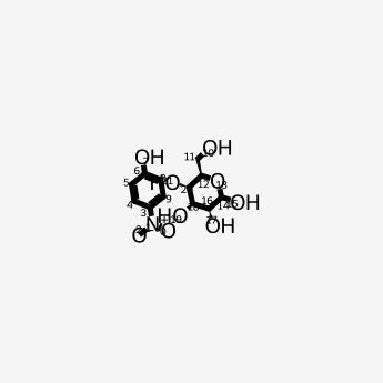 O=[N+]([O-])c1ccc(O)cc1.OC[C@H]1OC(O)[C@H](O)[C@@H](O)[C@@H]1O